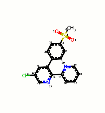 CS(=O)(=O)c1ccc(-c2cc(Cl)cnc2-c2ccccn2)cc1